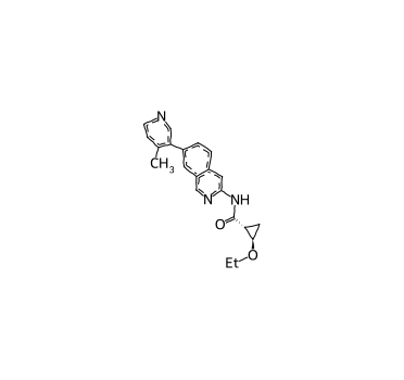 CCO[C@@H]1C[C@H]1C(=O)Nc1cc2ccc(-c3cnccc3C)cc2cn1